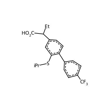 CCC(C(=O)O)c1ccc(-c2ccc(C(F)(F)F)cc2)c(SC(C)C)c1